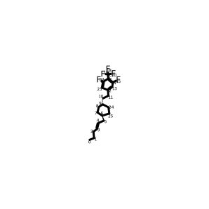 CCC/C=C/C[C@H]1CC[C@H](CCc2cc(F)c(C(F)(F)F)c(F)c2)CC1